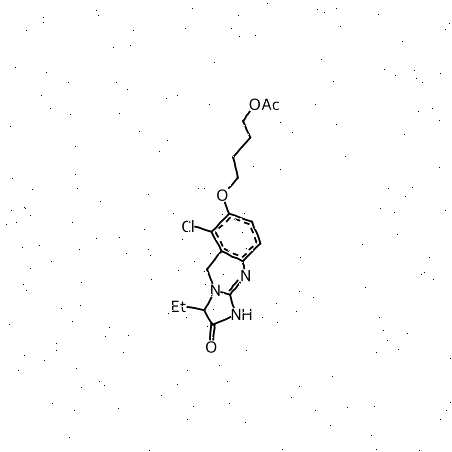 CCC1C(=O)NC2=Nc3ccc(OCCCCOC(C)=O)c(Cl)c3CN21